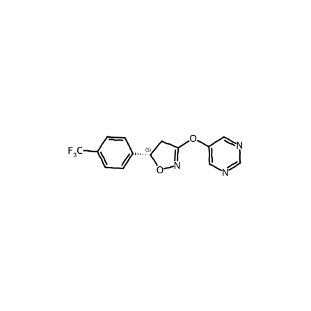 FC(F)(F)c1ccc([C@@H]2CC(Oc3cncnc3)=NO2)cc1